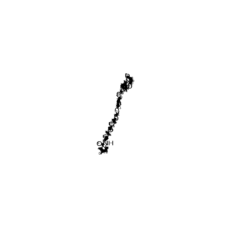 C[C@@H]1CCN(C(=O)NCCOCCOCCOCCOCCOCCOCCOCCn2cc(CN3C(=O)C=CC3=O)nn2)C1